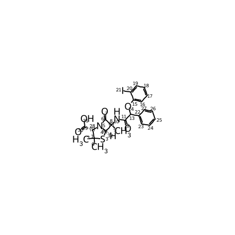 CC1(C)S[C@H]2N(C(=O)[C@]2(C)NC(=O)C(Oc2ccccc2I)c2ccccc2)[C@H]1C(=O)O